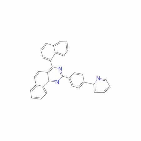 c1ccc(-c2ccc(-c3nc(-c4cccc5ccccc45)c4ccc5ccccc5c4n3)cc2)nc1